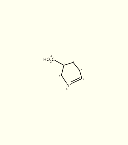 O=C(O)C1CCC=[N+]C1